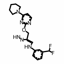 N=N/C(=C\Nc1cccc(C(F)F)c1)COc1nccc(N2CCCCC2)n1